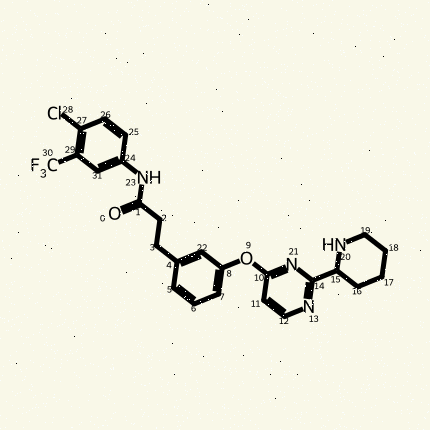 O=C(CCc1cccc(Oc2ccnc(C3CCCCN3)n2)c1)Nc1ccc(Cl)c(C(F)(F)F)c1